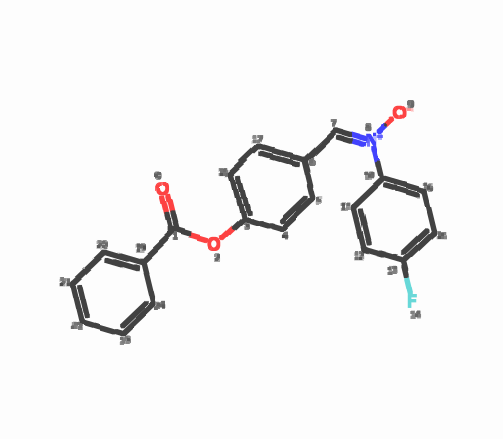 O=C(Oc1ccc(/C=[N+](/[O-])c2ccc(F)cc2)cc1)c1ccccc1